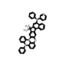 CC1(C)c2cc3c(cc2-c2c1cc(N(c1ccccc1)c1cccnc1)c1ccccc21)Oc1cccc2c1B3c1ccccc1N2c1ccccc1